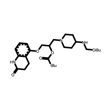 CC(C)COCNC1CCN(CC(COc2cccc3c2CCC(=O)N3)OC(=O)C(C)(C)C)CC1